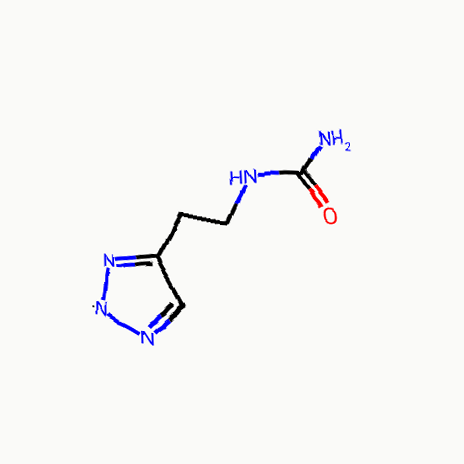 NC(=O)NCCC1=N[N]N=C1